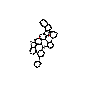 c1ccc(-c2ccc(N(c3cccc(-c4ccccc4)c3-c3cccc4c3oc3ccc5ccccc5c34)c3cccc4sc5ccccc5c34)cc2)cc1